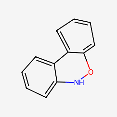 c1ccc2c(c1)NOc1ccccc1-2